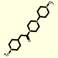 CN1CCC(CC(=O)N2CCN(C3CCN(C)CC3)CC2)CC1